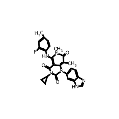 Cc1ccc(Nc2c3c(=O)n(C4CC4)c(=O)n(-c4ccc5nc[nH]c5c4)c3c(C)c(=O)n2C)c(F)c1